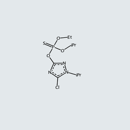 CCOP(=S)(Oc1nc(Cl)n(C(C)C)n1)OC(C)C